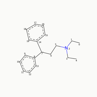 CCN(CC)CC[C](c1ccccc1)c1ccccc1